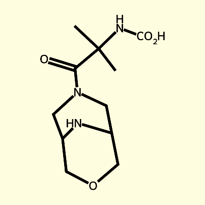 CC(C)(NC(=O)O)C(=O)N1CC2COCC(C1)N2